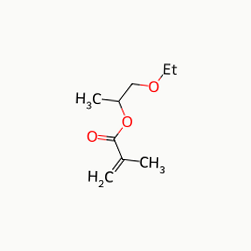 C=C(C)C(=O)OC(C)COCC